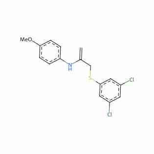 C=C(CSc1cc(Cl)cc(Cl)c1)Nc1ccc(OC)cc1